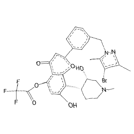 Cc1nn(Cc2cccc(-c3cc(=O)c4c(OC(=O)C(F)(F)F)cc(O)c([C@H]5CCN(C)C[C@H]5O)c4o3)c2)c(C)c1Br